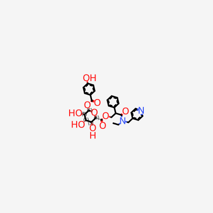 CCN(Cc1ccncc1)C(=O)C(COC(=O)[C@H]1O[C@@H](OC(=O)c2ccc(O)cc2)[C@H](O)[C@@H](O)[C@@H]1O)c1ccccc1